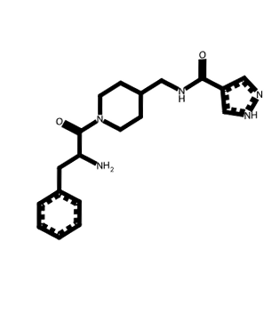 NC(Cc1ccccc1)C(=O)N1CCC(CNC(=O)c2cn[nH]c2)CC1